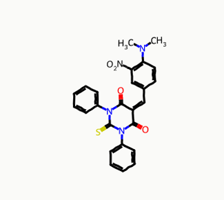 CN(C)c1ccc(C=C2C(=O)N(c3ccccc3)C(=S)N(c3ccccc3)C2=O)cc1[N+](=O)[O-]